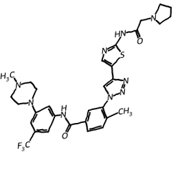 Cc1ccc(C(=O)Nc2cc(N3CCN(C)CC3)cc(C(F)(F)F)c2)cc1-n1cc(-c2cnc(NC(=O)CN3CCCC3)s2)nn1